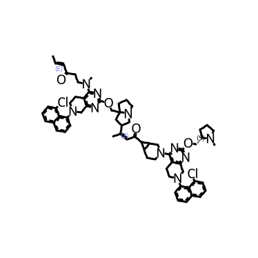 C/C=C/C(=O)CCN(C)c1nc(OCC23CCCN2CC(/C(C)=C\C(=O)C2C4CCN(c5nc(OC[C@@H]6CCCN6C)nc6c5CCN(c5cccc7cccc(Cl)c57)C6)CC42)C3)nc2c1CCN(c1cccc3cccc(Cl)c13)C2